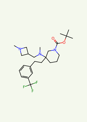 CN1CC(CN(C)C2(CCc3cccc(C(F)(F)F)c3)CCCN(C(=O)OC(C)(C)C)C2)C1